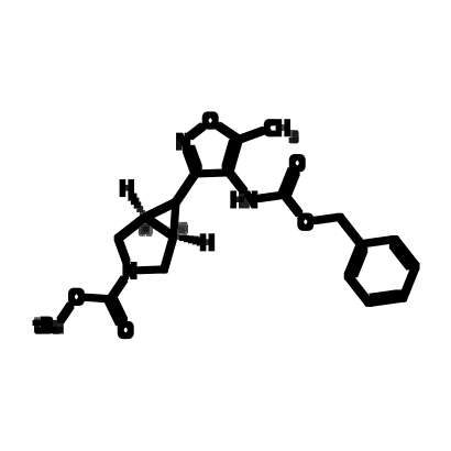 Cc1onc(C2[C@H]3CN(C(=O)OC(C)(C)C)C[C@@H]23)c1NC(=O)OCc1ccccc1